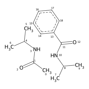 CC(=O)NC(C)C.CC(C)NC(=O)c1ccccc1